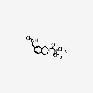 CN(C)C(=O)N1CCc2ccc(CNCl)cc2C1